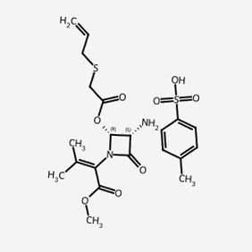 C=CCSCC(=O)O[C@@H]1[C@H](N)C(=O)N1C(C(=O)OC)=C(C)C.Cc1ccc(S(=O)(=O)O)cc1